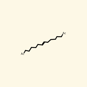 CC(=O)CCCCCC=CCCCCCC(C)=O